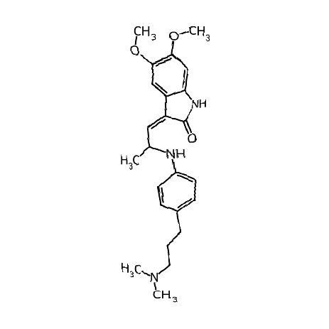 COc1cc2c(cc1OC)C(=CC(C)Nc1ccc(CCCN(C)C)cc1)C(=O)N2